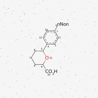 CCCCCCCCCc1ccc(C2CCCC(C(=O)O)O2)cc1